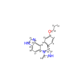 C=C1NC[C@H](c2ccc(OCCC)cc2)N1c1ccc2[nH]cnc2c1